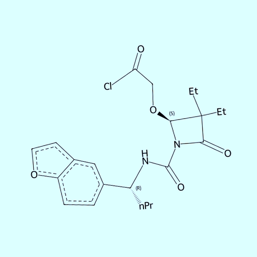 CCC[C@@H](NC(=O)N1C(=O)C(CC)(CC)[C@@H]1OCC(=O)Cl)c1ccc2occc2c1